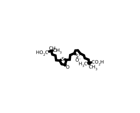 CC(C)(CCCC1CC(=O)C(CCC2CCC(CCCC(C)(C)C(=O)O)[S+]2[O-])S1)C(=O)O